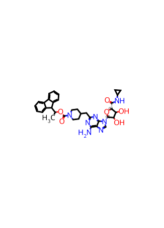 CC(OC(=O)N1CCC(Cc2nc(N)c3ncn([C@@H]4O[C@H](C(=O)NC5CC5)C(O)C4O)c3n2)CC1)C1c2ccccc2-c2ccccc21